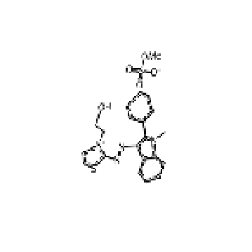 COS(=O)(=O)[O-].Cn1c(-c2ccccc2)c(N=Nc2scc[n+]2CCO)c2ccccc21